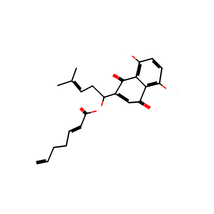 C=CCC/C=C/C(=O)OC(CC=C(C)C)C1=CC(=O)c2c(O)ccc(O)c2C1=O